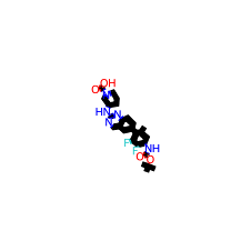 Cc1cc(NC(=O)OC(C)(C)C)c(F)c(F)c1-c1ccc2nc(NC3CCCN(C(=O)O)C3)ncc2c1